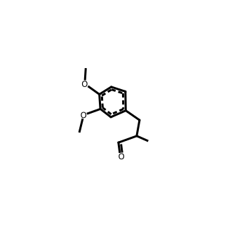 COc1ccc(CC(C)C=O)cc1OC